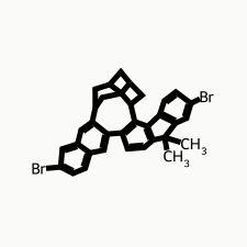 CC1(C)c2cc(Br)ccc2-c2c1ccc1c2C2CC3CC4CC(CC432)c2cc3cc(Br)ccc3cc2-1